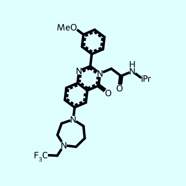 COc1cccc(-c2nc3ccc(N4CCCN(CC(F)(F)F)CC4)cc3c(=O)n2CC(=O)NC(C)C)c1